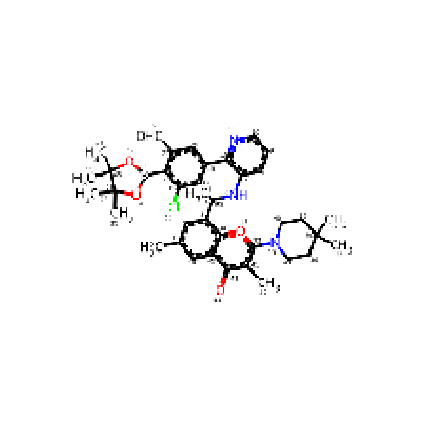 Cc1cc([C@@H](C)Nc2cccnc2-c2cc(Cl)c(B3OC(C)(C)C(C)(C)O3)c(C=O)c2)c2oc(N3CCC(C)(C)CC3)c(C)c(=O)c2c1